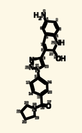 Nc1ccc2c(c1)C=C(c1cn(-c3ccc(C(=O)N4CCCC4)cc3)nn1)C(O)N2